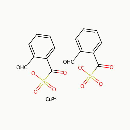 O=Cc1ccccc1C(=O)S(=O)(=O)[O-].O=Cc1ccccc1C(=O)S(=O)(=O)[O-].[Cu+2]